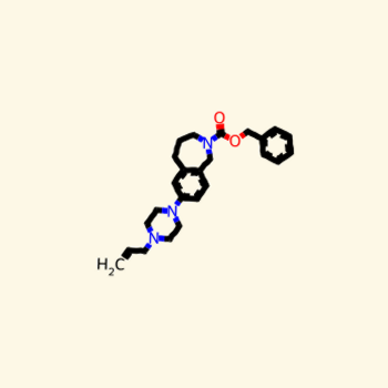 C=CCN1CCN(c2ccc3c(c2)CCCN(C(=O)OCc2ccccc2)C3)CC1